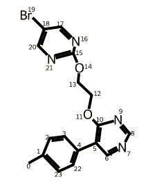 Cc1ccc(-c2[c]ncnc2OCCOc2ncc(Br)cn2)cc1